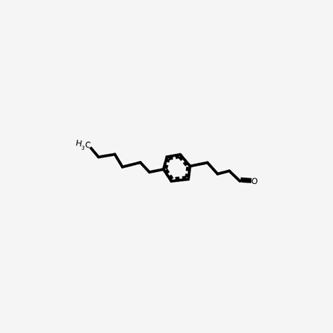 CCCCCCc1ccc(CCCC=O)cc1